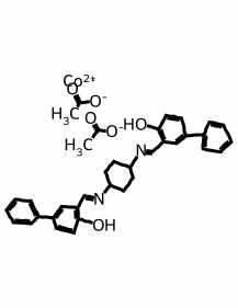 CC(=O)[O-].CC(=O)[O-].Oc1ccc(-c2ccccc2)cc1C=NC1CCC(N=Cc2cc(-c3ccccc3)ccc2O)CC1.[Co+2]